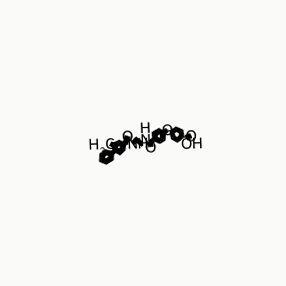 Cc1cc(C(=O)NCCNC(=O)c2ccc(O[C@H]3CC[C@@H](C(=O)O)CC3)cc2)ccc1-c1ccccc1